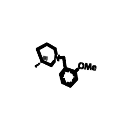 COc1ccccc1CN1CCC[C@@H](C)C1